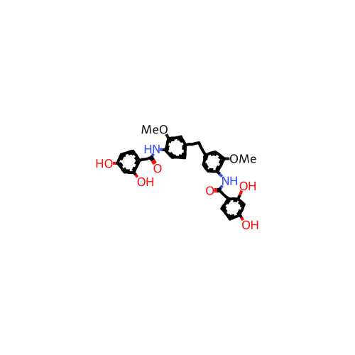 COc1cc(Cc2ccc(NC(=O)c3ccc(O)cc3O)c(OC)c2)ccc1NC(=O)c1ccc(O)cc1O